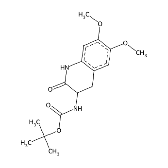 COc1cc2c(cc1OC)NC(=O)C(NC(=O)OC(C)(C)C)C2